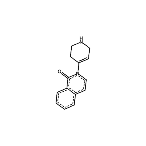 O=c1c2ccccc2ccn1C1=CCNCC1